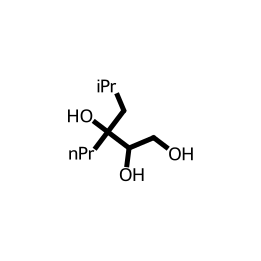 CCCC(O)(CC(C)C)C(O)CO